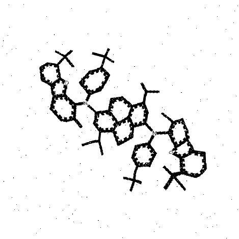 Cc1ccc2c(oc3c(C(C)(C)C)cccc32)c1N(c1ccc(C(C)(C)C)cc1)c1cc(C(C)C)c2ccc3c(N(c4ccc(C(C)(C)C)cc4)c4c(C)ccc5c4oc4c(C(C)(C)C)cccc45)cc(C(C)C)c4ccc1c2c43